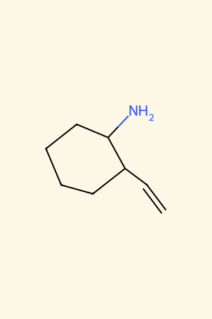 C=CC1CCCCC1N